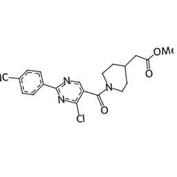 COC(=O)CC1CCN(C(=O)c2cnc(-c3ccc(C#N)cc3)nc2Cl)CC1